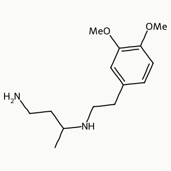 COc1ccc(CCNC(C)CCN)cc1OC